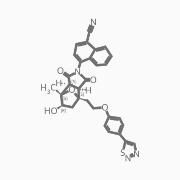 C[C@@]12O[C@@](CCOc3ccc(-c4cnns4)cc3)(C[C@H]1O)[C@@H]1C(=O)N(c3ccc(C#N)c4ccccc34)C(=O)[C@@H]12